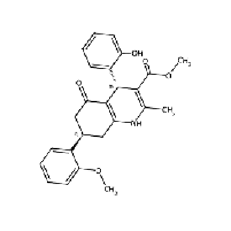 COC(=O)C1=C(C)NC2=C(C(=O)C[C@H](c3ccccc3OC)C2)[C@@H]1c1ccccc1O